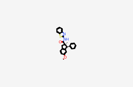 COc1ccc2c(c1)[C@H](c1ccccc1)[C@](C)(C(=O)Nc1nc3ccccc3s1)C2